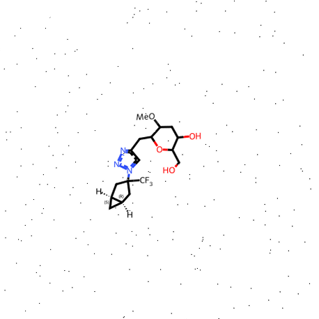 COC1CC(O)C(CO)OC1Cc1cn(C2(C(F)(F)F)C[C@H]3C[C@H]3C2)nn1